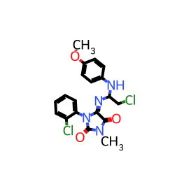 COc1ccc(NC(CCl)N=C2C(=O)N(C)C(=O)N2c2ccccc2Cl)cc1